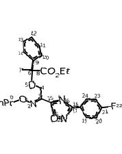 CCCON=C(COC(C)(C(=O)OCC)c1ccccc1)c1nc(-c2ccc(F)cc2)no1